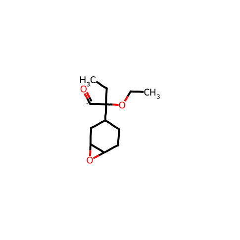 CCOC([C]=O)(CC)C1CCC2OC2C1